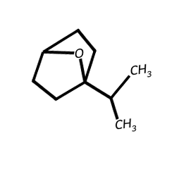 CC(C)C12CCC(CC1)O2